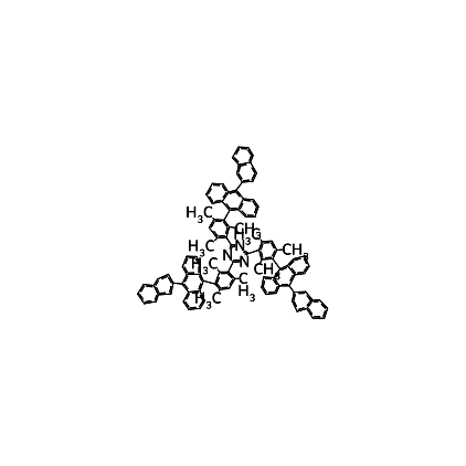 Cc1cc(C)c(-c2c3ccccc3c(-c3ccc4ccccc4c3)c3ccccc23)c(C)c1-c1nc(-c2c(C)cc(C)c(-c3c4ccccc4c(-c4ccc5ccccc5c4)c4ccccc34)c2C)nc(-c2c(C)cc(C)c(-c3c4ccccc4c(-c4ccc5ccccc5c4)c4ccccc34)c2C)n1